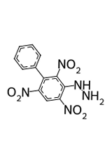 NNc1c([N+](=O)[O-])cc([N+](=O)[O-])c(-c2ccccc2)c1[N+](=O)[O-]